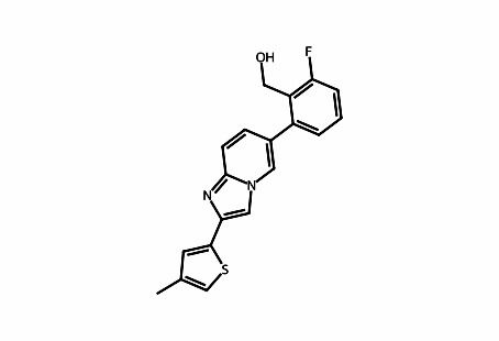 Cc1csc(-c2cn3cc(-c4cccc(F)c4CO)ccc3n2)c1